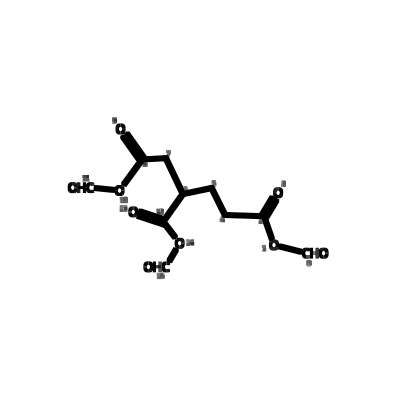 O=COC(=O)CCC(CC(=O)OC=O)C(=O)OC=O